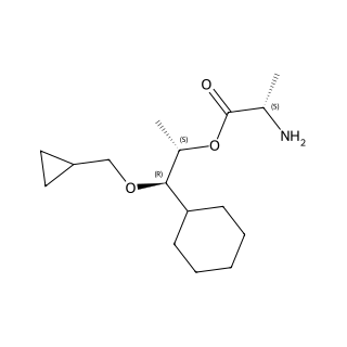 C[C@H](N)C(=O)O[C@@H](C)[C@H](OCC1CC1)C1CCCCC1